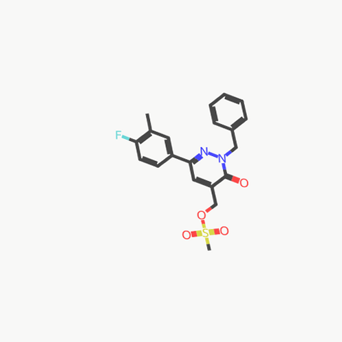 Cc1cc(-c2cc(COS(C)(=O)=O)c(=O)n(Cc3ccccc3)n2)ccc1F